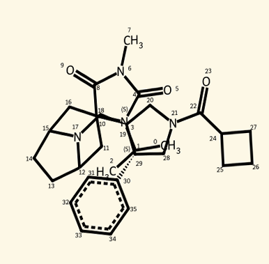 CC(C)N1C(=O)N(C)C(=O)C12CC1CCC(C2)N1C[C@H]1CN(C(=O)C2CCC2)C[C@@H]1c1ccccc1